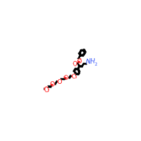 COCCOCCOCCOCCOc1ccc(C(CCCN)C(=O)OCc2ccccc2)cc1